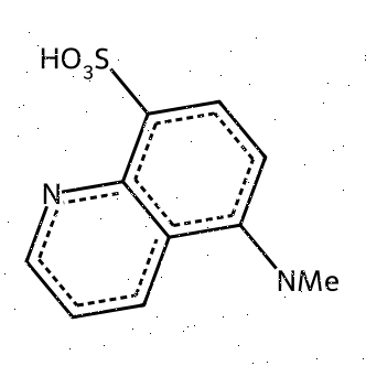 CNc1ccc(S(=O)(=O)O)c2ncccc12